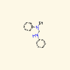 CCN(CNc1ccccc1)c1ccccc1